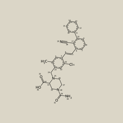 Cc1cc(C=Cc2cccc(-c3ccccc3)c2C#N)c(Cl)cc1CN1CCN(C(N)=O)CC1C(=O)O